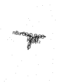 C#CCOCCOCCNC(=O)CCC(N)(CCC(=O)NCCOCCOCC#C)CCC(=O)NCCOCCOCC#CCCCC